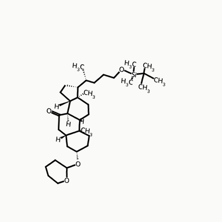 C[C@H](CCCO[Si](C)(C)C(C)(C)C)[C@H]1CC[C@H]2[C@@H]3C(=O)C[C@H]4C[C@@H](OC5CCCCO5)CC[C@]4(C)[C@H]3CC[C@]12C